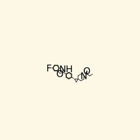 CCC(=O)N1CCC2(CC1)C[C@H]2c1ccc(C2Nc3ccc(F)cc3O2)cc1